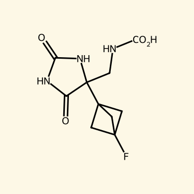 O=C(O)NCC1(C23CC(F)(C2)C3)NC(=O)NC1=O